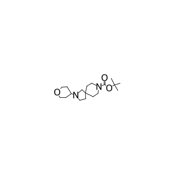 CC(C)(C)OC(=O)N1CCC2(CC1)CCN(C1CCOCC1)C2